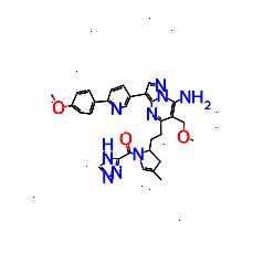 COCc1c(CCC2CC(C)=CN2C(=O)c2nnc[nH]2)nc2c(-c3ccc(-c4ccc(OC)cc4)nc3)cnn2c1N